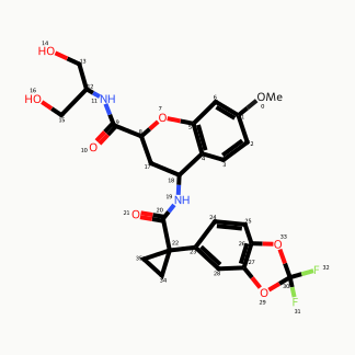 COc1ccc2c(c1)OC(C(=O)NC(CO)CO)CC2NC(=O)C1(c2ccc3c(c2)OC(F)(F)O3)CC1